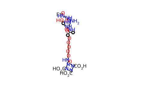 CCC(=O)NCCNC(=O)/N=C(/N)NCCC[C@@H](NC(=O)C(c1ccccc1)c1cccc(OCCOCCOCCOCCOCCNC(=O)CN2CCN(CC(=O)O)CCN(CC(=O)O)CCN(CC(=O)O)CC2)c1)C(=O)NCc1ccc(O)cc1